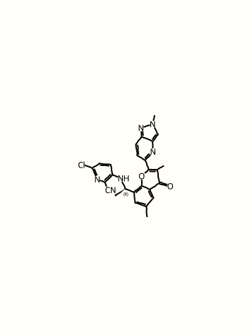 Cc1cc([C@@H](C)Nc2ccc(Cl)nc2C#N)c2oc(-c3ccc4nn(C)cc4n3)c(C)c(=O)c2c1